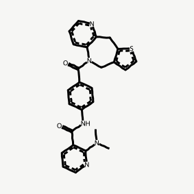 CN(C)c1ncccc1C(=O)Nc1ccc(C(=O)N2Cc3ccsc3Cc3ncccc32)cc1